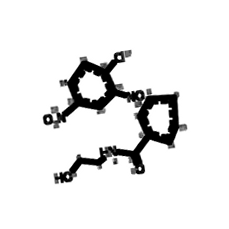 O=C(NCCO)c1ccccc1.O=[N+]([O-])c1ccc(Cl)c([N+](=O)[O-])c1